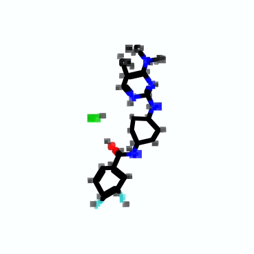 CCN(C)c1nc(NC2CCC(NC(=O)c3ccc(F)c(F)c3)CC2)ncc1C.Cl